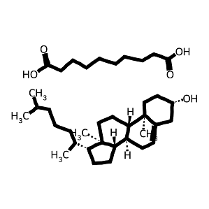 CC(C)CCCC(C)[C@H]1CC[C@H]2[C@@H]3CC=C4C[C@@H](O)CC[C@]4(C)[C@H]3CC[C@]12C.O=C(O)CCCCCCCCC(=O)O